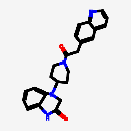 O=C1CN(C2CCN(C(=O)Cc3ccc4ncccc4c3)CC2)c2ccccc2N1